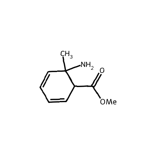 COC(=O)C1C=CC=CC1(C)N